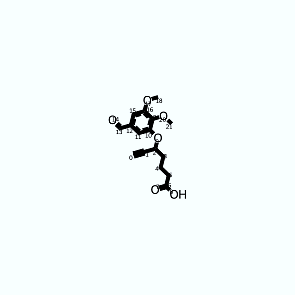 C#CC(CCCC(=O)O)Oc1cc(C=O)cc(OC)c1OC